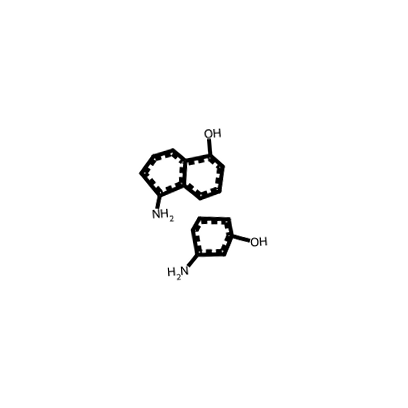 Nc1cccc(O)c1.Nc1cccc2c(O)cccc12